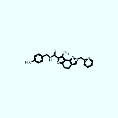 Cc1ccc(CNC(=O)c2oc3c(c2C)-c2nn(Cc4ccccn4)cc2CC3)cc1